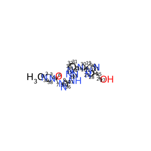 CN1CCN(C(=O)Cn2cc(Nc3nc4c(N5CC(CC#N)(n6cc(CCO)cn6)C5)cccn4n3)cn2)CC1